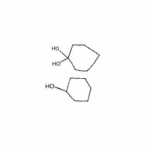 OC1(O)CCCCC1.OC1CCCCC1